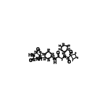 O=C(CN1C(=O)C2(CCC2)Oc2ccccc21)Nc1ccc2c(c1)CC1(C2)NC(=O)NC1=O